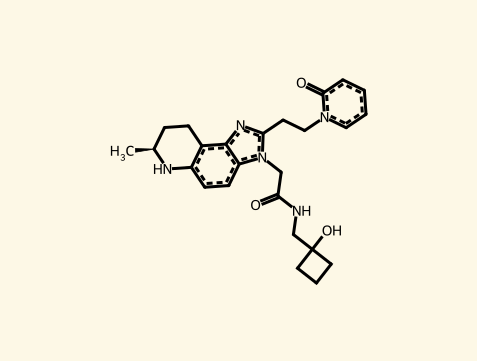 C[C@H]1CCc2c(ccc3c2nc(CCn2ccccc2=O)n3CC(=O)NCC2(O)CCC2)N1